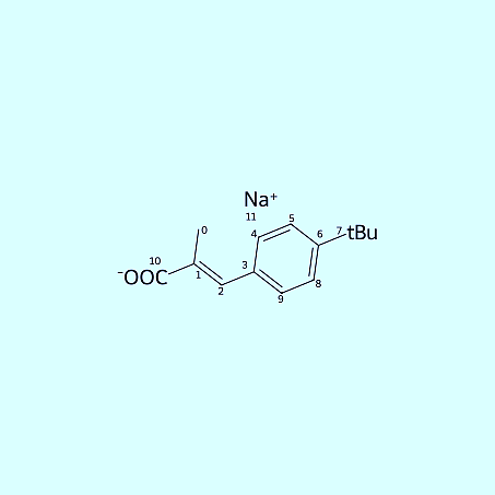 C/C(=C\c1ccc(C(C)(C)C)cc1)C(=O)[O-].[Na+]